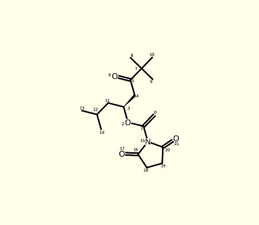 C=C(O[C@H](CC(=O)C(C)(C)C)CC(C)C)N1C(=O)CCC1=O